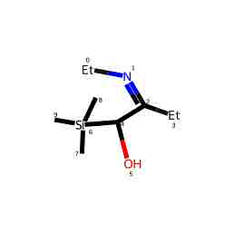 CCN=C(CC)C(O)[Si](C)(C)C